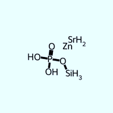 O=P(O)(O)O[SiH3].[SrH2].[Zn]